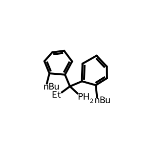 CCCCc1ccccc1C(P)(CC)c1ccccc1CCCC